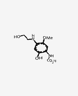 COc1cc(NC(=O)O)c(O)cc1NCCO